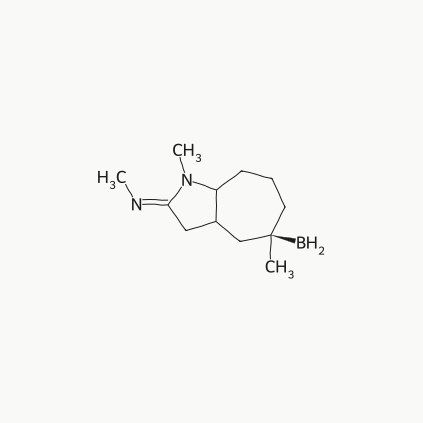 B[C@]1(C)CCCC2C(C/C(=N/C)N2C)C1